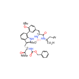 CCCCOc1ccc(C[C@H](NBOC)C(=O)N[C@@H](CC(C)C)C(=O)O)cc1-c1cccc2c(C[C@H](NC(=O)OCc3ccccc3)C(=O)NC)c[nH]c12